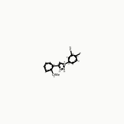 COc1ccccc1-c1cn(-c2ccc(C)c(F)c2)nn1